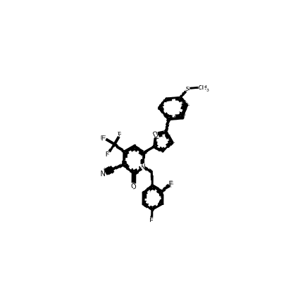 CSc1ccc(-c2ccc(-c3cc(C(F)(F)F)c(C#N)c(=O)n3Cc3ccc(F)cc3F)o2)cc1